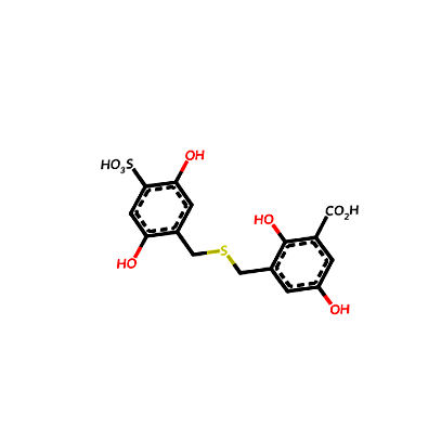 O=C(O)c1cc(O)cc(CSCc2cc(O)c(S(=O)(=O)O)cc2O)c1O